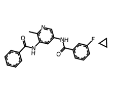 C1CC1.Cc1ncc(NC(=O)c2cccc(F)c2)cc1NC(=O)c1ccccc1